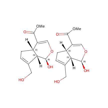 COC(=O)C1=CO[C@@H](O)[C@@H]2C(CO)=CC[C@H]12.COC(=O)C1=CO[C@@H](O)[C@@H]2C(CO)=CC[C@H]12